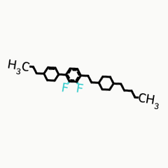 CCCCCC1CCC(CCc2ccc(C3C=CC(CCC)CC3)c(F)c2F)CC1